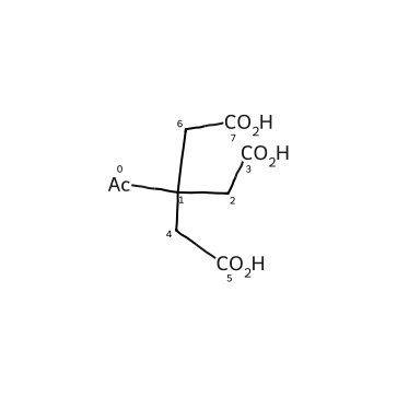 CC(=O)C(CC(=O)O)(CC(=O)O)CC(=O)O